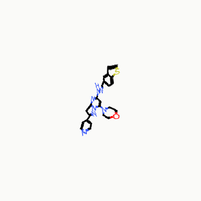 C(=NNc1cc(N2CCOCC2)n2nc(-c3ccncc3)cc2n1)c1ccc2sccc2c1